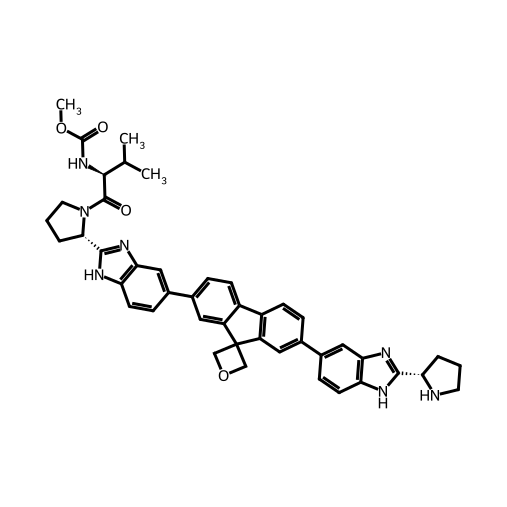 COC(=O)N[C@H](C(=O)N1CCC[C@H]1c1nc2cc(-c3ccc4c(c3)C3(COC3)c3cc(-c5ccc6[nH]c([C@@H]7CCCN7)nc6c5)ccc3-4)ccc2[nH]1)C(C)C